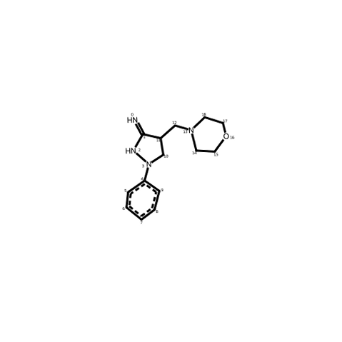 N=C1NN(c2ccccc2)CC1CN1CCOCC1